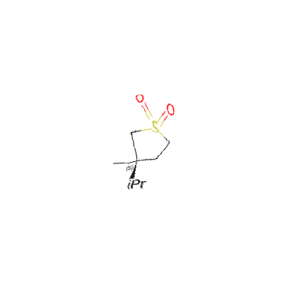 CC(C)[C@]1(C)CCS(=O)(=O)C1